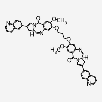 COc1cc2c(cc1OCCCOc1cc3c(cc1OC)C(=O)N1C=C(c4ccc5ncccc5c4)C[C@H]1C=N3)N=C[C@@H]1CC(c3ccc4ncccc4c3)=CN1C2=O